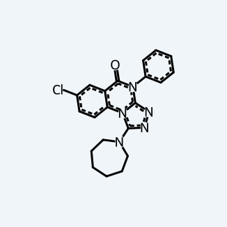 O=c1c2cc(Cl)ccc2n2c(N3CCCCCC3)nnc2n1-c1ccccc1